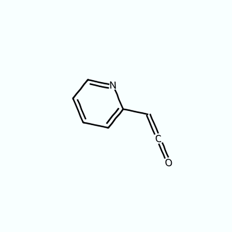 O=C=Cc1ccccn1